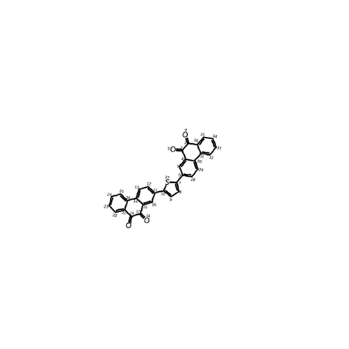 O=C1C(=O)c2cc(-c3ccc(-c4ccc5c(c4)C(=O)C(=O)c4ccccc4-5)s3)ccc2-c2ccccc21